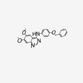 COc1cc2ncnc(Nc3ccc(OCc4ccccc4)cc3)c2cc1OC